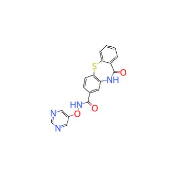 O=C(NOc1cncnc1)c1ccc2c(c1)NC(=O)c1ccccc1S2